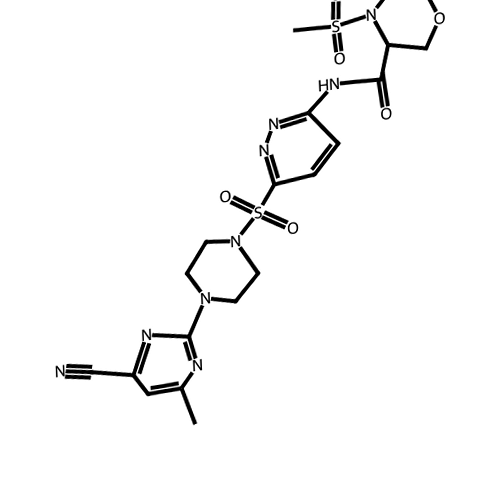 Cc1cc(C#N)nc(N2CCN(S(=O)(=O)c3ccc(NC(=O)C4COCCN4S(C)(=O)=O)nn3)CC2)n1